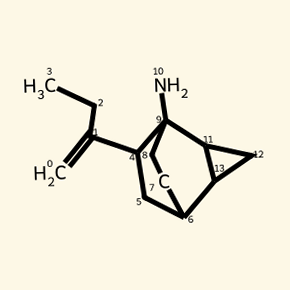 C=C(CC)C1CC2CCC1(N)C1CC21